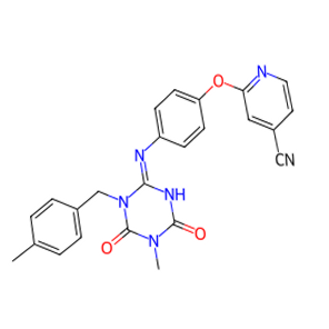 Cc1ccc(Cn2c(=O)n(C)c(=O)[nH]/c2=N\c2ccc(Oc3cc(C#N)ccn3)cc2)cc1